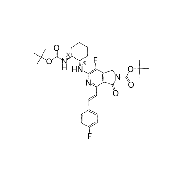 CC(C)(C)OC(=O)N[C@H]1CCCC[C@H]1Nc1nc(C=Cc2ccc(F)cc2)c2c(c1F)CN(C(=O)OC(C)(C)C)C2=O